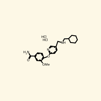 COc1cc(C(N)=O)ccc1Oc1ccc(CNCC2CCCCC2)cn1.Cl.Cl